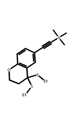 CCSC1(SCC)CCOc2ccc(C#C[Si](C)(C)C)cc21